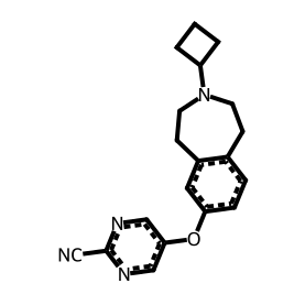 N#Cc1ncc(Oc2ccc3c(c2)CCN(C2CCC2)CC3)cn1